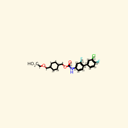 O=C(O)COCC1CCC(COC(=O)Nc2ccc(-c3ccc(F)c(Cl)c3)c(F)c2)CC1